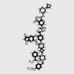 COc1ccc(CN2CCN(C3CC4(CCN(c5ccc(C(=O)NS(=O)(=O)c6cnc(NC[C@@H]7CN(C8COC8)CCO7)c([N+](=O)[O-])c6)c(Oc6cc7c(F)c[nH]c7nc6OC)c5)CC4)C3)[C@H](c3ccccc3C(C)C)C2)cc1